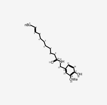 CCCCC=CCCCCCCCC(=O)NCc1ccc(O)c(OC)c1